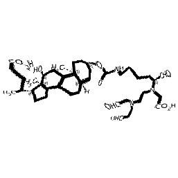 CC(CCC(=O)O)[C@H]1CCC2C3CC[C@@H]4C[C@H](OC(=O)NCCCC[C@@H](C=O)N(CCN(CC=O)CC=O)CC(=O)O)CC[C@]4(C)C3C[C@H](O)[C@@]21C